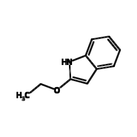 CCOc1cc2ccccc2[nH]1